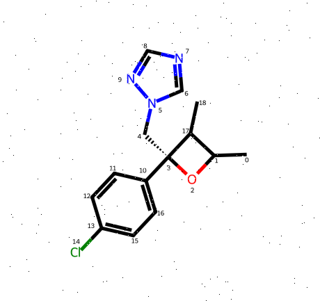 CC1O[C@@](Cn2cncn2)(c2ccc(Cl)cc2)C1C